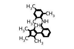 CC1=C(C)C(C)C(c2ccccc2CNc2c(C)cc(C)cc2C)=C1C